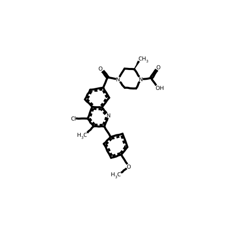 COc1ccc(-c2nc3cc(C(=O)N4CCN(C(=O)O)[C@H](C)C4)ccc3c(Cl)c2C)cc1